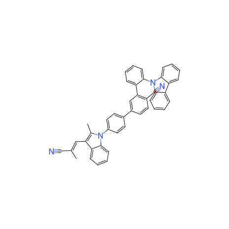 C/C(C#N)=C\c1c(C)n(-c2ccc(-c3ccc(C#N)c(-c4ccccc4-n4c5ccccc5c5ccccc54)c3)cc2)c2ccccc12